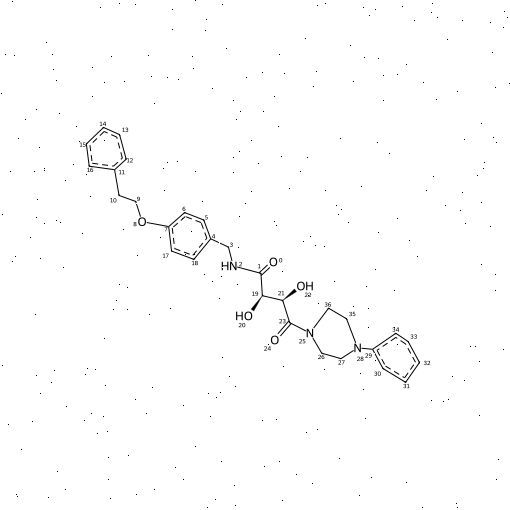 O=C(NCc1ccc(OCCc2ccccc2)cc1)[C@H](O)[C@@H](O)C(=O)N1CCN(c2ccccc2)CC1